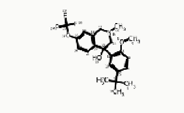 COc1ccc(C(C)(C)C)cc1C1(O)CN(C)Cc2cc(OC(F)(F)F)ccc21